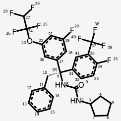 O=C(NC1CCCC1)N[C@@](Cc1ccccc1)(c1cc(F)cc(OC(F)(F)C(F)F)c1)c1ccc(F)c(C(F)(F)F)c1